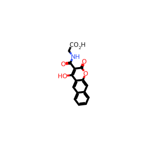 O=C(O)CNC(=O)c1c(O)c2cc3ccccc3cc2oc1=O